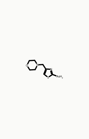 [AsH2]c1nc(CN2CCOCC2)cs1